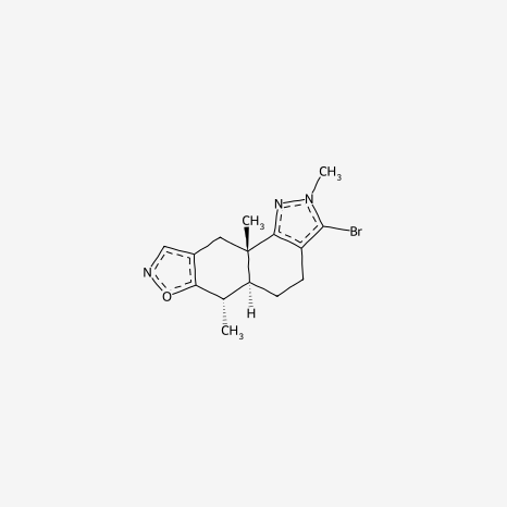 C[C@@H]1c2oncc2C[C@]2(C)c3nn(C)c(Br)c3CC[C@@H]12